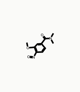 COc1cc(C(=O)N(C)C)ccc1N=O